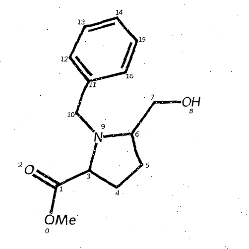 COC(=O)C1CCC(CO)N1Cc1ccccc1